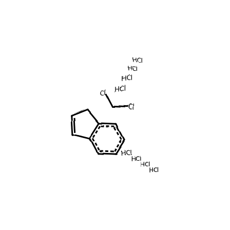 C1=Cc2ccccc2C1.Cl.Cl.Cl.Cl.Cl.Cl.Cl.Cl.ClCCl